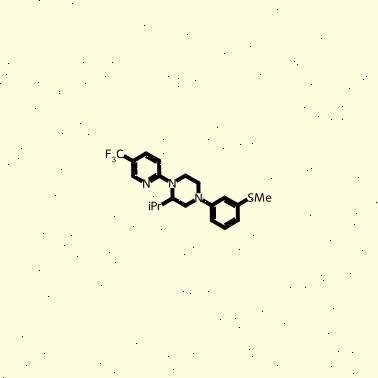 CSc1cccc(N2CCN(c3ccc(C(F)(F)F)cn3)C(C(C)C)C2)c1